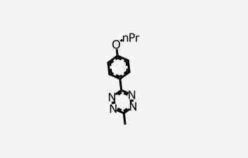 CCCOc1ccc(-c2nnc(C)nn2)cc1